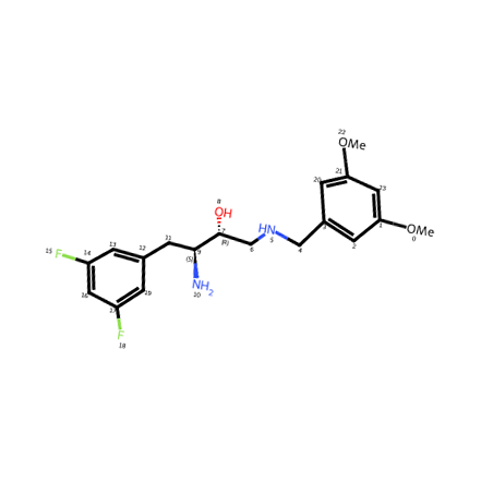 COc1cc(CNC[C@@H](O)[C@@H](N)Cc2cc(F)cc(F)c2)cc(OC)c1